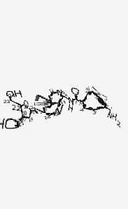 NCc1ccc(C(=O)Nc2ncnc3c2ncn3[C@H]2C[C@@H](O)C(CO)O2)cc1